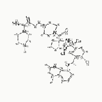 Cc1cc(C)c2cccc(OCc3c(Cl)ccc(S(=O)(=O)NC4(C(=O)N5CCN(CCNC(=N)N6CCN(C)CC6)CC5)CCCC4)c3Cl)c2n1